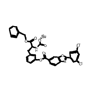 CC(C)(C)OC(=O)NC(Cc1cccc(OC(=O)c2ccc3nc(-c4cc(Cl)cc(Cl)c4)oc3c2)c1)C(=O)OCc1ccccc1